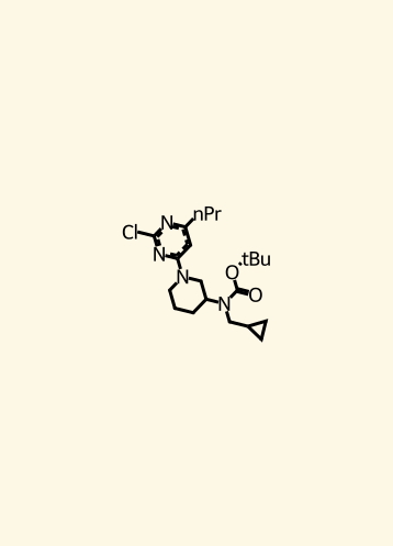 CCCc1cc(N2CCCC(N(CC3CC3)C(=O)OC(C)(C)C)C2)nc(Cl)n1